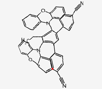 CCc1c(N2c3ccccc3Oc3ccccc32)c(-c2ccc(C#N)cc2)cc(-c2ccc(C#N)cc2)c1N1c2ccccc2Oc2ccccc21